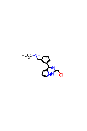 O=C(O)NCc1cccc(-c2nc(CO)nn3cccc23)c1